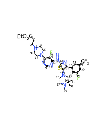 CCOC(=O)CCN1CCN(c2ncnc(Nc3nc(-c4cc(F)cc(C(F)(F)F)c4)c(N4CCN(C)C(C)(C)C4)s3)c2F)CC1